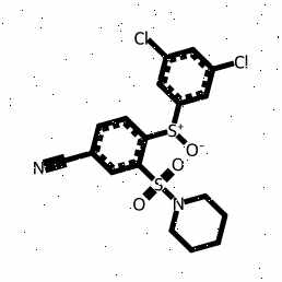 N#Cc1ccc([S+]([O-])c2cc(Cl)cc(Cl)c2)c(S(=O)(=O)N2CCCCC2)c1